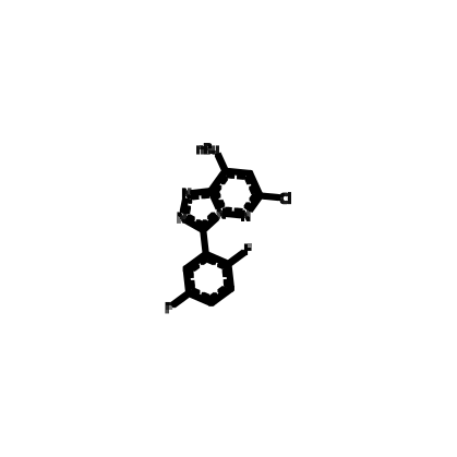 CCCCc1cc(Cl)nn2c(-c3cc(F)ccc3F)nnc12